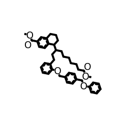 COC(=O)CCCCCCC(CCc1ccccc1OCc1ccc(COc2ccccc2)cc1)C1CCCc2cc(C(=O)OC)ccc21